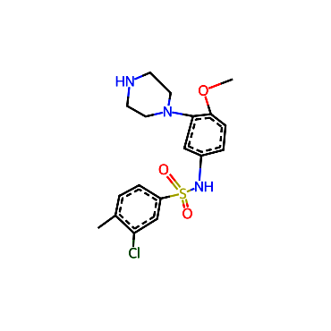 COc1ccc(NS(=O)(=O)c2ccc(C)c(Cl)c2)cc1N1CCNCC1